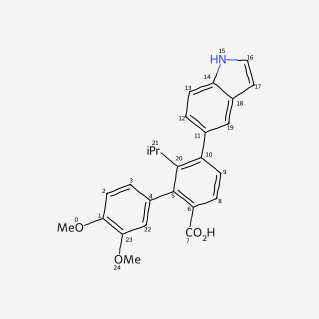 COc1ccc(-c2c(C(=O)O)ccc(-c3ccc4[nH]ccc4c3)c2C(C)C)cc1OC